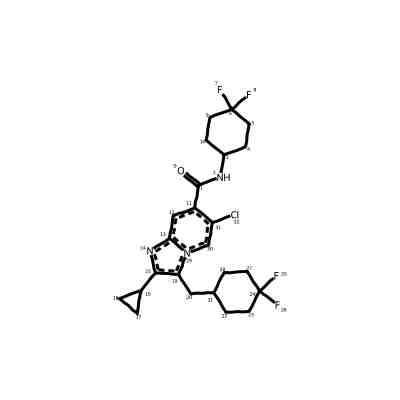 O=C(NC1CCC(F)(F)CC1)c1cc2nc(C3CC3)c(CC3CCC(F)(F)CC3)n2cc1Cl